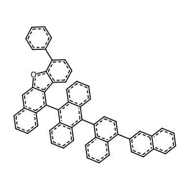 c1ccc(-c2cccc3c2oc2cc4ccccc4c(-c4c5ccccc5c(-c5ccc(-c6ccc7ccccc7c6)c6ccccc56)c5ccccc45)c23)cc1